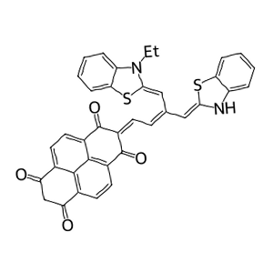 CCN1C(=CC(=CC=c2c(=O)c3ccc4c5c(ccc(c2=O)c53)C(=O)CC4=O)/C=C2/Nc3ccccc3S2)Sc2ccccc21